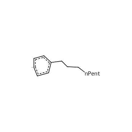 CCCCCCCCc1cc[c]cc1